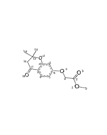 COC(=O)COc1ccc2c(c1)OC(C)(C)CC2=O